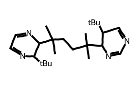 CC(C)(C)C1C=NC=NC1C(C)(C)CCC(C)(C)C1N=CC=NC1C(C)(C)C